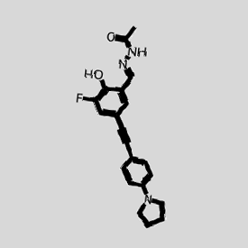 CC(=O)N/N=C/c1cc(C#Cc2ccc(N3CCCC3)cc2)cc(F)c1O